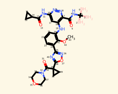 BC(B)(B)NC(=O)c1nnc(NC(=O)C2CC2)cc1Nc1cccc(-c2noc(C3(C(=O)N4CCOCC4)CC3)n2)c1OC